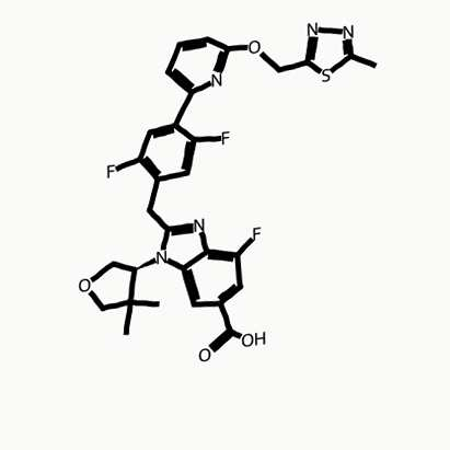 Cc1nnc(COc2cccc(-c3cc(F)c(Cc4nc5c(F)cc(C(=O)O)cc5n4[C@@H]4COCC4(C)C)cc3F)n2)s1